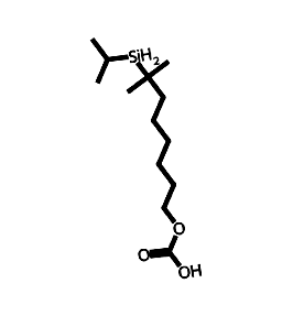 CC(C)[SiH2]C(C)(C)CCCCCCOC(=O)O